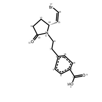 O=C(O)c1ccc(CCN2C(=O)CC[C@@H]2/C=C\Br)cc1